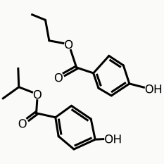 CC(C)OC(=O)c1ccc(O)cc1.CCCOC(=O)c1ccc(O)cc1